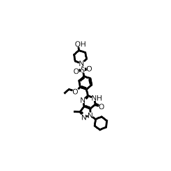 CCOc1cc(S(=O)(=O)N2CCC(O)CC2)ccc1-c1nc2c(C)nn(C3CCCCC3)c2c(=O)[nH]1